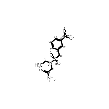 CCN(CC(N)=S)S(=O)(=O)Cc1cccc([N+](=O)[O-])c1